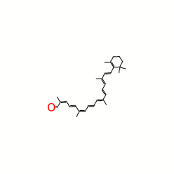 CC(C=O)=CC=CC(C)=CC=CC=C(C)C=CC=C(C)C=CC1=C(C)CCCC1(C)C